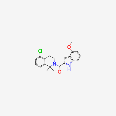 COc1cccc2[nH]c(C(=O)N3CCc4c(Cl)cccc4C3(C)C)cc12